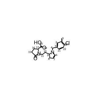 Cc1cc(CN2C=CCC2CCN2C(=O)CCC2C(=O)O)ccc1Cl